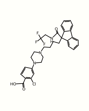 O=C(O)c1ccc(N2CCN(CCCCC3(C(=O)NCC(F)(F)F)c4ccccc4-c4ccccc43)CC2)cc1Cl